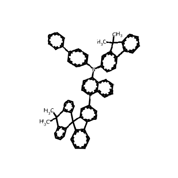 CC1(C)c2ccccc2-c2ccc(N(c3ccc(-c4ccccc4)cc3)c3ccc(-c4ccc5c(c4)C4(c6ccccc6-5)c5ccccc5C(C)(C)c5ccccc54)c4ccccc34)cc21